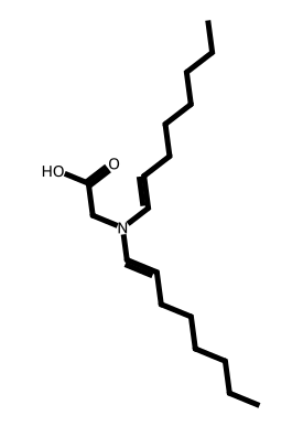 CCCCCCC=CN(C=CCCCCCC)CC(=O)O